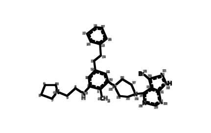 Cc1c(NCCN2CCCC2)cc(CCc2ccccc2)cc1N1CCN(c2ncnc3[nH]nc(Br)c23)CC1